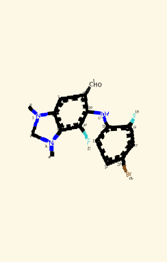 CN1CN(C)c2c1cc(C=O)c(Nc1ccc(Br)cc1F)c2F